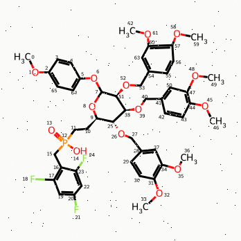 COc1ccc(OC2O[C@H](CCP(=O)(O)Cc3c(F)cc(F)cc3F)[C@@H](OCc3ccc(OC)c(OC)c3)[C@H](OCc3ccc(OC)c(OC)c3)[C@@H]2OCc2ccc(OC)c(OC)c2)cc1